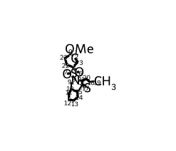 COc1ccc(S(=O)(=O)N2Cc3ccccc3-c3sc(C)cc32)cc1